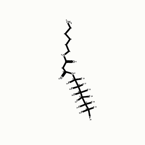 CCCCCCOC(=O)CC(=O)OC(F)(F)C(F)(F)C(F)(F)C(F)(F)C(F)(F)C(F)(F)F